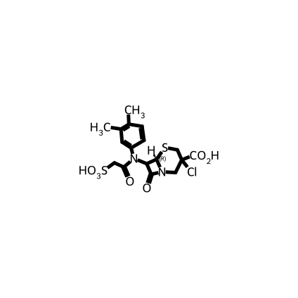 Cc1ccc(N(C(=O)CS(=O)(=O)O)C2C(=O)N3CC(Cl)(C(=O)O)CS[C@H]23)cc1C